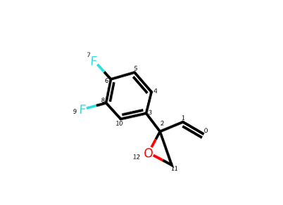 C=CC1(c2ccc(F)c(F)c2)CO1